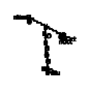 CCCCCCCCCOC(=O)CCCCCCCN(CCCCCCCC(=O)OC(CCCCCCCC)CCCCCCCC)CCOC(=O)CCOCCOCCOCCOCCNC(=O)OC(C)(C)C